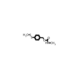 CNC(=O)OCc1ccc(SSC)cc1